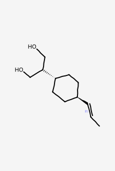 C/C=C/[C@H]1CC[C@H](C(CO)CO)CC1